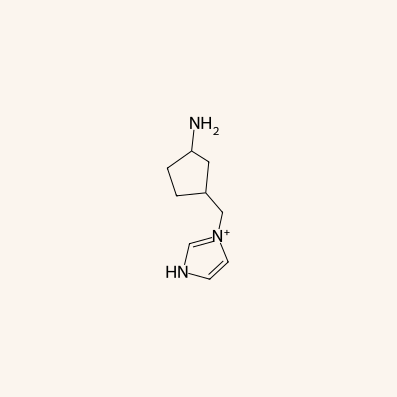 NC1CCC(C[n+]2cc[nH]c2)C1